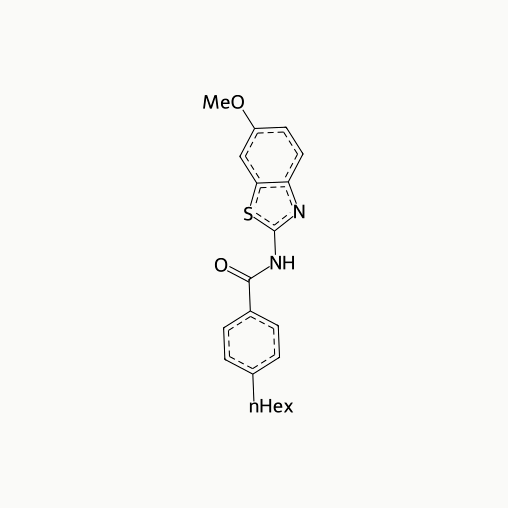 CCCCCCc1ccc(C(=O)Nc2nc3ccc(OC)cc3s2)cc1